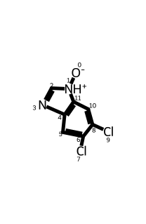 [O-][NH+]1C=Nc2cc(Cl)c(Cl)cc21